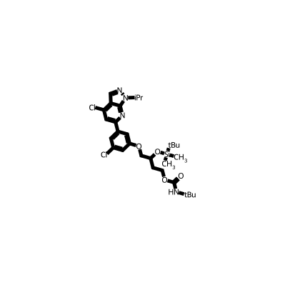 CC(C)n1ncc2c(Cl)cc(-c3cc(Cl)cc(OCC(CCOC(=O)NC(C)(C)C)O[Si](C)(C)C(C)(C)C)c3)nc21